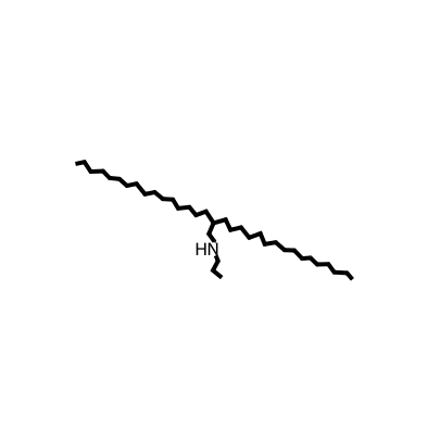 CCCCCCCCCCCCCCCCC(CCCCCCCCCCCCCCCC)CCNCCC